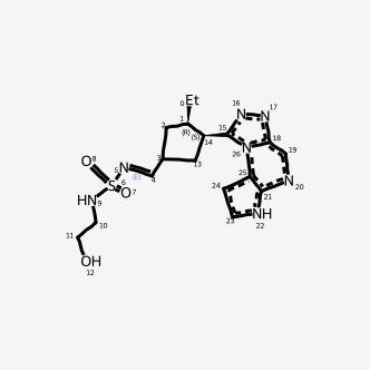 CC[C@@H]1CC(/C=N/S(=O)(=O)NCCO)C[C@@H]1c1nnc2cnc3[nH]ccc3n12